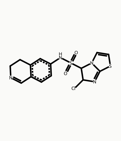 O=S(=O)(Nc1ccc2c(c1)CCN=C2)C1C(Cl)N=C2SC=CN21